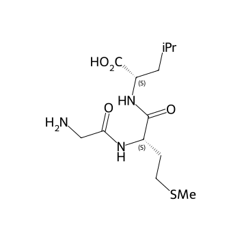 CSCC[C@H](NC(=O)CN)C(=O)N[C@@H](CC(C)C)C(=O)O